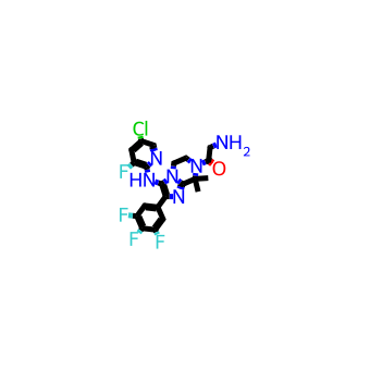 CC1(C)c2nc(-c3cc(F)c(F)c(F)c3)c(Nc3ncc(Cl)cc3F)n2CCN1C(=O)CN